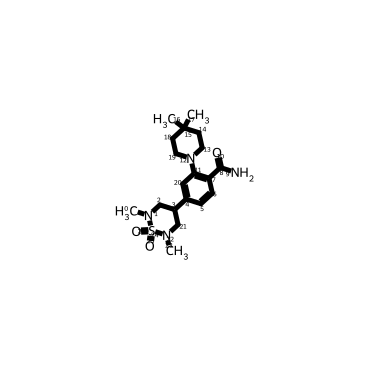 CN1CC(c2ccc(C(N)=O)c(N3CCC(C)(C)CC3)c2)CN(C)S1(=O)=O